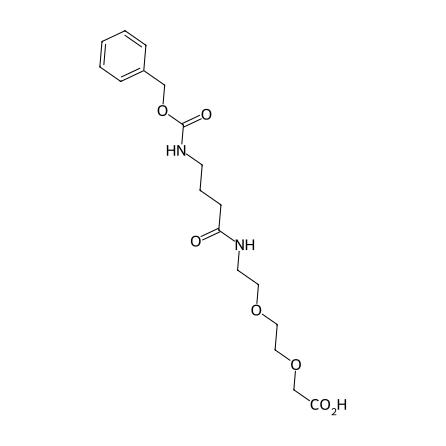 O=C(O)COCCOCCNC(=O)CCCNC(=O)OCc1ccccc1